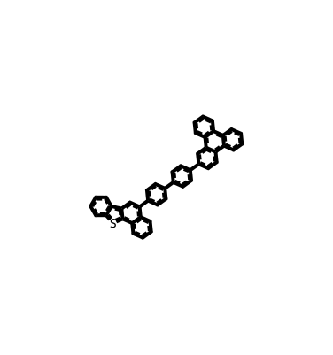 c1ccc2c(c1)sc1c3ccccc3c(-c3ccc(-c4ccc(-c5ccc6c7ccccc7c7ccccc7c6c5)cc4)cc3)cc21